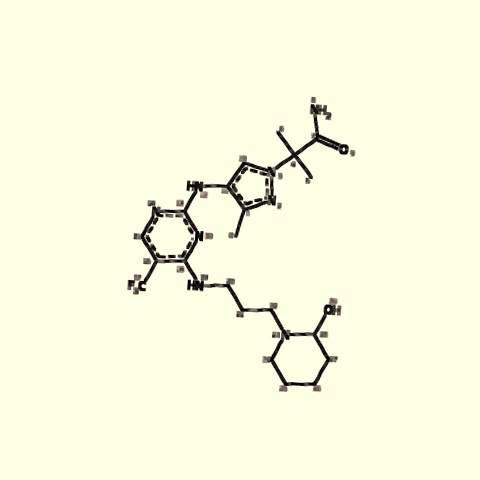 Cc1nn(C(C)(C)C(N)=O)cc1Nc1ncc(C(F)(F)F)c(NCCCN2CCCCC2O)n1